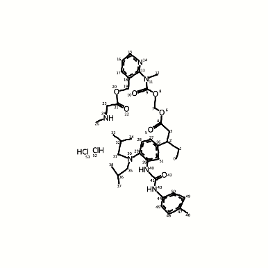 CCC(CC(=O)OCOC(=O)N(C)c1ncccc1COC(=O)CNC)c1ccc(N(CC(C)C)CC(C)C)c(NC(=O)Nc2ccc(C)cc2)c1.Cl.Cl